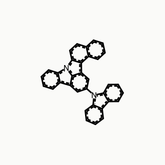 c1ccc2c(c1)ccc1c2c2cc(-n3c4ccccc4c4ccccc43)cc3c4ccccc4n1c32